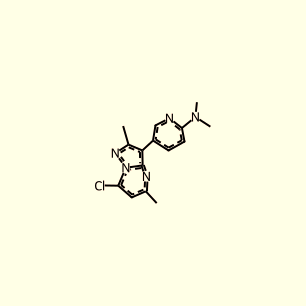 Cc1cc(Cl)n2nc(C)c(-c3ccc(N(C)C)nc3)c2n1